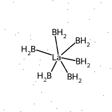 [BH2][La]([BH2])([BH2])([BH2])([BH2])[BH2]